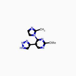 COc1ncc(-c2c[nH]nn2)c(-n2ccnc2C)n1